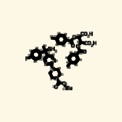 CC(C)(C)OC(=O)N1CCN(c2ncc(C(C)(N)c3ccc(F)cc3)cn2)CC1.Cc1ccc(C(=O)OC(C(=O)O)C(OC(=O)c2ccc(C)cc2)C(=O)O)cc1